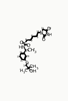 C[C@@H](NS(=O)(=O)CCCCCN1CC(=O)NC1=O)c1cccc(OCC(C)(C)O)c1